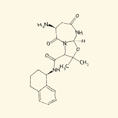 CC1(C)O[C@@H]2NC(=O)C[C@H](N)C(=O)N2C1C(=O)N[C@@H]1CCCc2ccccc21